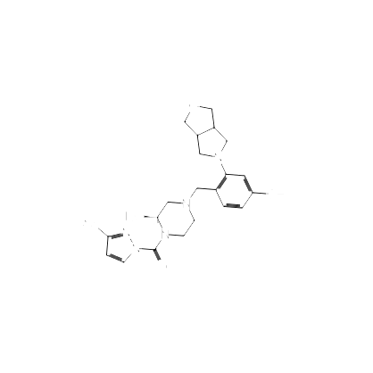 CC(=O)c1ccn(C(=O)N2CCN(Cc3ccc(C)cc3N3CC4COCC4C3)C[C@@H]2C)n1